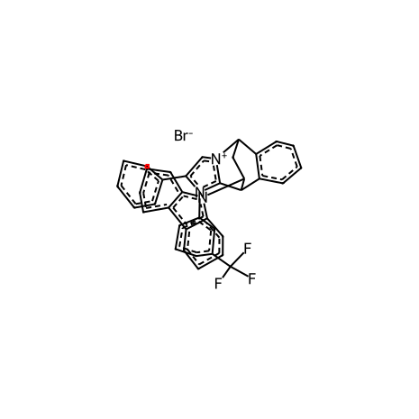 FC(F)(F)c1cccc(-n2c(-c3ccccc3)c[n+]3c2C2c4ccccc4C3CC2n2c3ccccc3c3ccccc32)c1.[Br-]